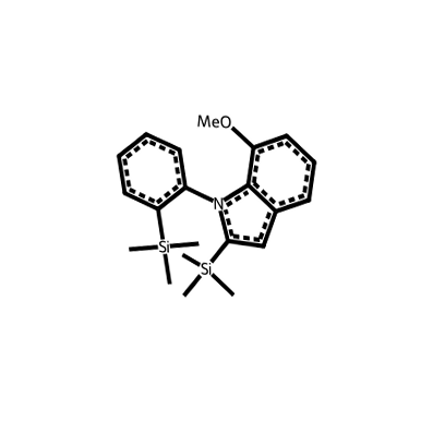 COc1cccc2cc([Si](C)(C)C)n(-c3ccccc3[Si](C)(C)C)c12